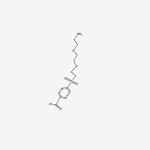 NCCOCCOCCS(=O)(=O)c1ccc([N+](=O)[O-])cc1